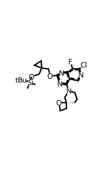 CC(C)(C)[Si](C)(C)OCC1(COc2nc(N3CCC[C@@]4(CCO4)C3)c3cnc(Cl)c(F)c3n2)CC1